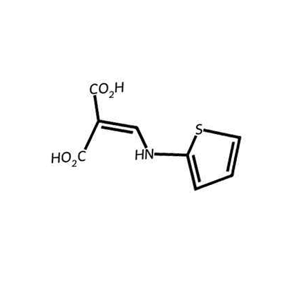 O=C(O)C(=CNc1cccs1)C(=O)O